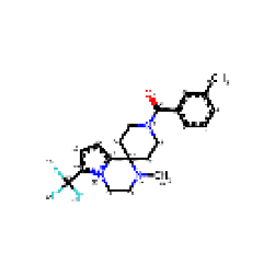 Cc1cccc(C(=O)N2CCC3(CC2)c2ccc(C(F)(F)F)n2CCN3C)c1